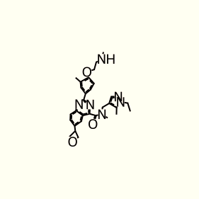 CCn1ncc(CN(C)C(=O)c2nc(-c3ccc(OCCNC)c(C)c3)nc3ccc(C4COC4)cc23)c1C